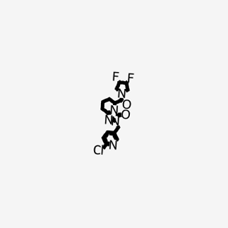 O=C(C1CCCc2nn(Cc3ccc(Cl)nc3)c(=O)n21)N1CC(F)C(F)C1